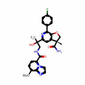 COc1ccc(C(=O)NCC(O)(c2cc3c(c(-c4ccc(F)cc4)n2)OC[C@]3(C)C(N)=O)C(F)(F)F)n2ccnc12